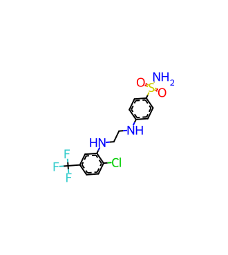 NS(=O)(=O)c1ccc(NCCNc2cc(C(F)(F)F)ccc2Cl)cc1